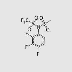 CS(=O)(=O)N(c1ccc(F)c(F)c1F)S(=O)(=O)C(F)(F)F